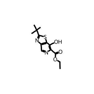 CCOC(=O)c1ncc2nc(C(C)(C)C)sc2c1O